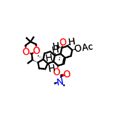 CC(=O)O[C@@H]1CC2=C[C@@H](OC(=O)N(C)C)[C@H]3[C@@H]4CC[C@H](C(C)C5OCC(C)(C)CO5)[C@@]4(C)CC[C@@H]3[C@@]2(C)[C@H]2O[C@@H]12